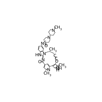 CN/C1=C(\C=N)c2cc(cc(C)n2)C(=O)/N=C2\Nc3ccc(N=S4(=O)CCN(C5CCN(C)CC5)CC4)cc3N2C[C@H](C)CCCO1